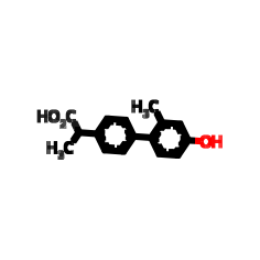 Cc1cc(O)ccc1-c1ccc(C(C)C(=O)O)cc1